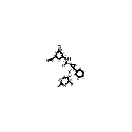 Cc1ncc(OC[C@@]2(c3ccccc3)C[C@H]2C(=O)Nc2cc(Cl)cc(C#N)c2)c(C)n1